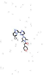 CC1CN(c2ccnc(-c3cnc4ccc(C(F)(F)F)cn34)n2)CC(C)N1C(=O)CC1CCOCC1